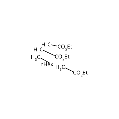 CCCCCCC.CCOC(C)=O.CCOC(C)=O.CCOC(C)=O